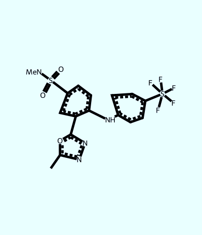 CNS(=O)(=O)c1ccc(Nc2ccc(S(F)(F)(F)(F)F)cc2)c(-c2nnc(C)o2)c1